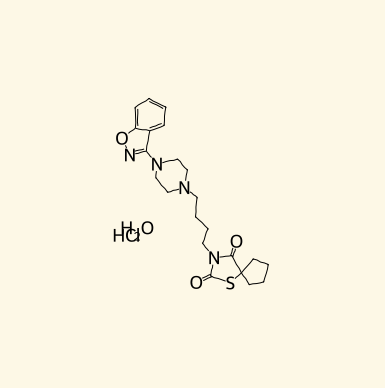 Cl.O.O=C1SC2(CCCC2)C(=O)N1CCCCN1CCN(c2noc3ccccc23)CC1